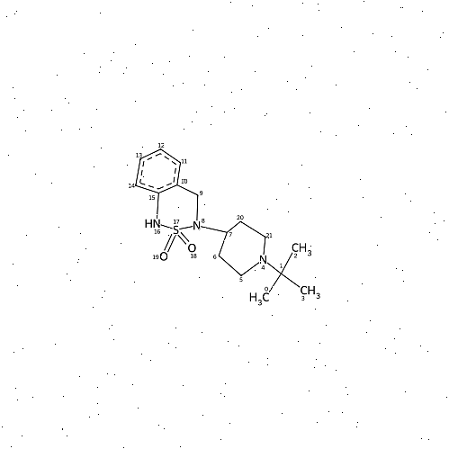 CC(C)(C)N1CCC(N2Cc3ccccc3NS2(=O)=O)CC1